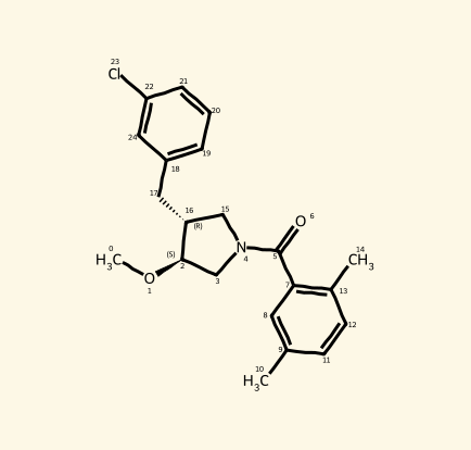 CO[C@@H]1CN(C(=O)c2cc(C)ccc2C)C[C@H]1Cc1cccc(Cl)c1